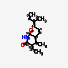 C=C/C(C)=C/C=C\C1=C(C)C(=C\C)/C(=O)NC1=O